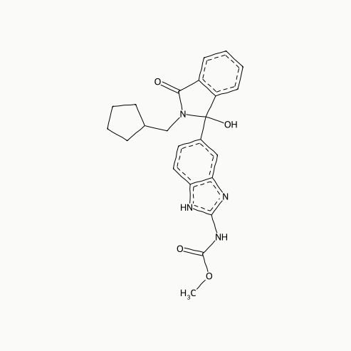 COC(=O)Nc1nc2cc(C3(O)c4ccccc4C(=O)N3CC3CCCC3)ccc2[nH]1